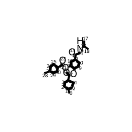 Cc1ccc(C(=O)Oc2ccc(C(=O)CNC(C)C)cc2OC(=O)c2ccc(C)cc2)cc1